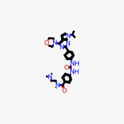 CC(C)n1ccc2c(N3CCOCC3)nc(-c3ccc(NC(=O)Nc4ccc(C(=O)N(C)CCN(C)C)cc4)cc3)nc21